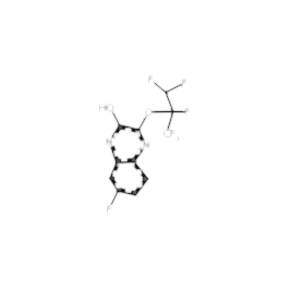 Oc1nc2cc(F)ccc2nc1OC(F)(C(F)F)C(F)(F)F